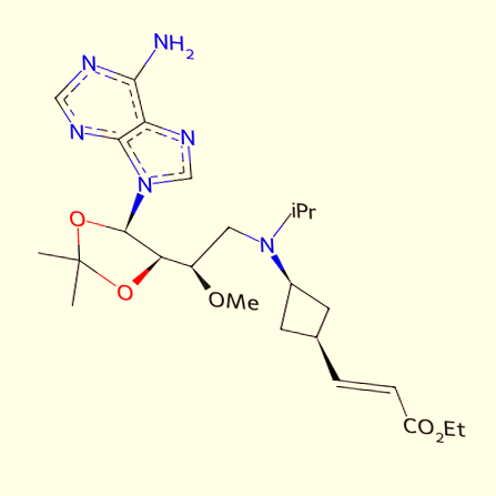 CCOC(=O)/C=C/[C@H]1C[C@@H](N(C[C@@H](OC)[C@H]2OC(C)(C)O[C@H]2n2cnc3c(N)ncnc32)C(C)C)C1